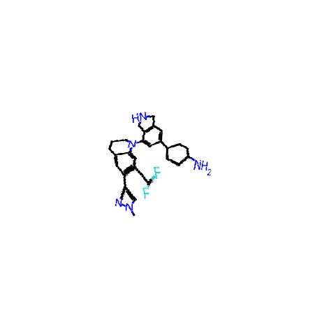 Cn1cc(-c2cc3c(cc2C(F)F)N(c2cc(C4CCC(N)CC4)cc4c2CNC4)CCC3)cn1